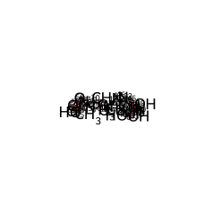 CCc1c2c(nc3ccc(OC(=O)N(C)CCCN4CCN(Cc5ccc(-n6c(O)nnc6-c6cc(C(C)C)c(O)cc6O)cc5)CC4)cc13)-c1cc3c(c(=O)n1C2)COC(=O)[C@]3(O)CC